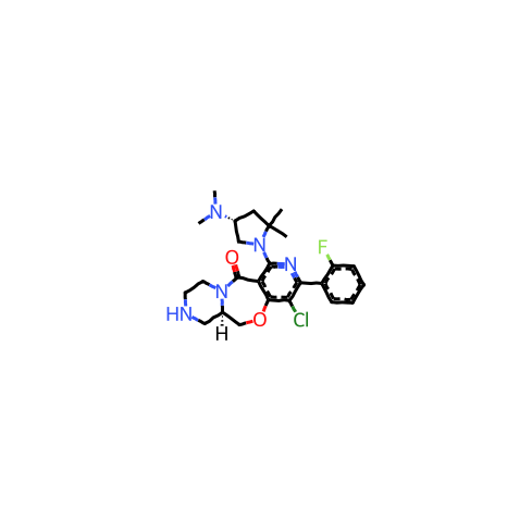 CN(C)[C@H]1CN(c2nc(-c3ccccc3F)c(Cl)c3c2C(=O)N2CCNC[C@@H]2CO3)C(C)(C)C1